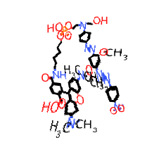 COc1cc(/N=N/c2ccc([N+](=O)[O-])cc2)c(OC)cc1/N=N/c1ccc(N(CCO)CCOP(=O)(O)OCCCCCCNC(=O)c2ccc(C(=O)O)c(-c3c4ccc(=[N+](C)C)cc-4oc4cc(N(C)C)ccc34)c2)cc1